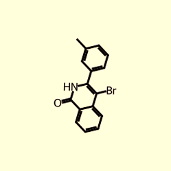 Cc1cccc(-c2[nH]c(=O)c3ccccc3c2Br)c1